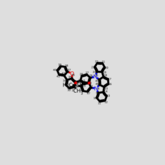 C[Si](C)(C)c1ccc(-n2c3ccccc3c3ccc4c5ccccc5n(-c5ccc(-c6cccc7c6oc6ccccc67)cc5)c4c32)cc1